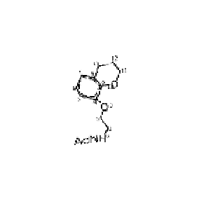 CC(=O)NCCOc1cccc2c1OCCC2